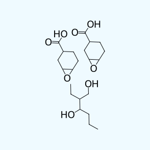 CCCC(O)C(CC)CO.O=C(O)C1CCC2OC2C1.O=C(O)C1CCC2OC2C1